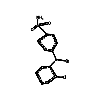 NS(=O)(=O)c1ccc(N(Br)c2ccccc2Cl)cc1